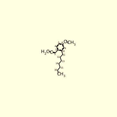 C=C=Cc1c[c]c(OC)cc1CCCCCCC